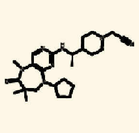 C[C@@H](Nc1ncc2c(n1)N(C1CCCC1)CC(C)(C)C(=O)N2C)C1CCN(CC#N)CC1